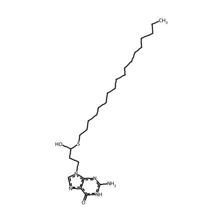 CCCCCCCCCCCCCCCCCCSC(O)CCn1cnc2c(=O)[nH]c(N)nc21